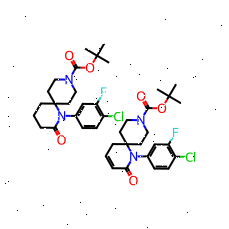 CC(C)(C)OC(=O)N1CCC2(CC=CC(=O)N2c2ccc(Cl)c(F)c2)CC1.CC(C)(C)OC(=O)N1CCC2(CCCC(=O)N2c2ccc(Cl)c(F)c2)CC1